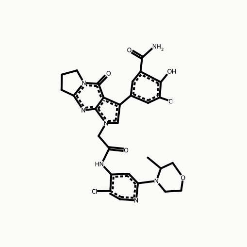 CC1COCCN1c1cc(NC(=O)Cn2cc(-c3cc(Cl)c(O)c(C(N)=O)c3)c3c(=O)n4c(nc32)CCC4)c(Cl)cn1